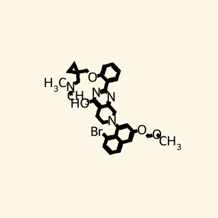 COCOc1cc(N2CCc3c(O)nc(-c4ccccc4OCC4(CN(C)C)CC4)nc3C2)c2c(Br)cccc2c1